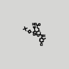 Cc1cc(Cl)ccc1NC(=O)C[C@@H](CCC(=O)O)c1noc([C@H]2C[C@@H](CC(C)(C)C)C2)c1C1CC1